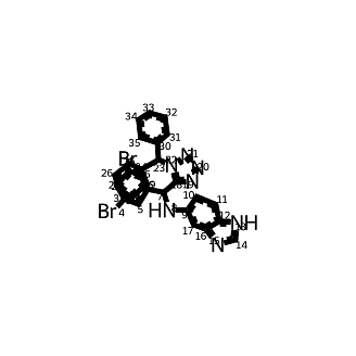 Brc1cc(Br)cc(C(Nc2ccc3[nH]cnc3c2)c2nnnn2C(c2ccccc2)c2ccccc2)c1